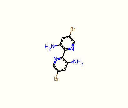 Nc1cc(Br)cnc1-c1ncc(Br)cc1N